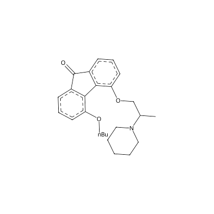 CCCCOc1cccc2c1-c1c(OCC(C)N3CCCCC3)cccc1C2=O